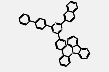 c1ccc(-c2ccc(-c3nc(-c4ccc(-c5ccccc5-n5c6ccccc6c6ccccc65)cc4)nc(-c4ccc5ccccc5c4)n3)cc2)cc1